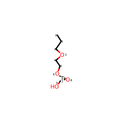 CCCOCC[O][Ti](=[O])[OH]